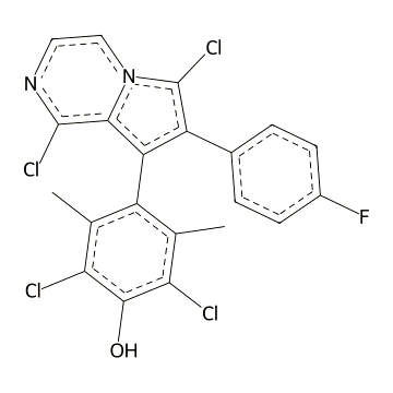 Cc1c(Cl)c(O)c(Cl)c(C)c1-c1c(-c2ccc(F)cc2)c(Cl)n2ccnc(Cl)c12